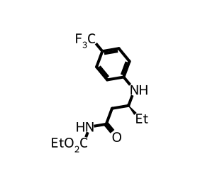 CCOC(=O)NC(=O)C[C@H](CC)Nc1ccc(C(F)(F)F)cc1